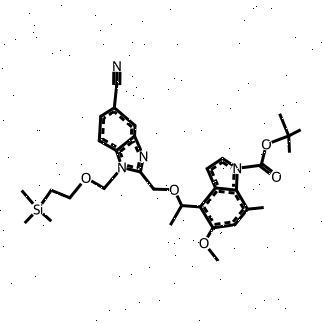 COc1cc(C)c2c(ccn2C(=O)OC(C)(C)C)c1C(C)OCc1nc2cc(C#N)ccc2n1COCC[Si](C)(C)C